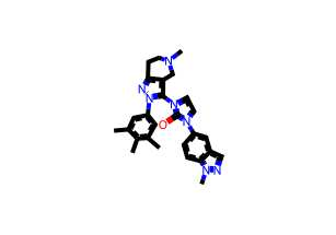 Cc1cc(-n2nc3c(c2-n2ccn(-c4ccc5c(cnn5C)c4)c2=O)CN(C)CC3)cc(C)c1C